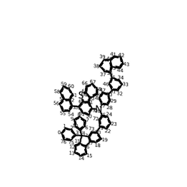 c1ccc(C2(c3ccccc3)c3ccccc3-c3ccc(-c4cccc(N(c5ccc(-c6cccc(-c7cccc8ccccc78)c6)cc5)c5ccc(-c6cccc7ccccc67)c6sc7ccccc7c56)c4)cc32)cc1